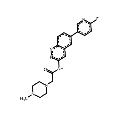 CN1CCN(CC(=O)Nc2cc3cc(-c4ccc(F)nc4)ccc3nn2)CC1